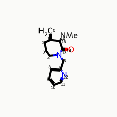 C=C1CCCN(Cc2ccccn2)C(=O)C1NC